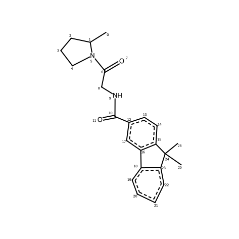 CC1CCCN1C(=O)CNC(=O)c1ccc2c(c1)-c1ccccc1C2(C)C